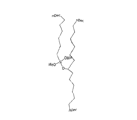 CCCCCCCCCCCCCCCCC(CCCCCCCCCCCCCCCC)O[Si](CCCCCCCCCCCCCCCC)(OC)OC